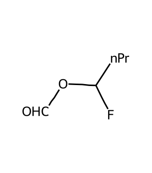 CCCC(F)OC=O